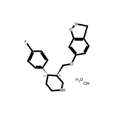 Cl.Fc1ccc([C@H]2CCNC[C@@H]2COc2ccc3c(c2)OOC3)cc1.O